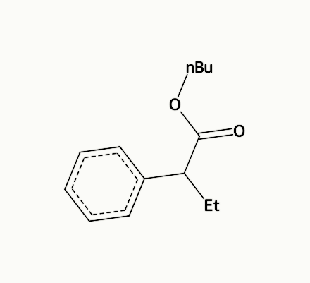 CCCCOC(=O)C(CC)c1ccccc1